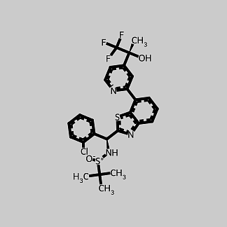 CC(C)(C)[S+]([O-])N[C@H](c1nc2cccc(-c3cc([C@@](C)(O)C(F)(F)F)ccn3)c2s1)c1ccccc1Cl